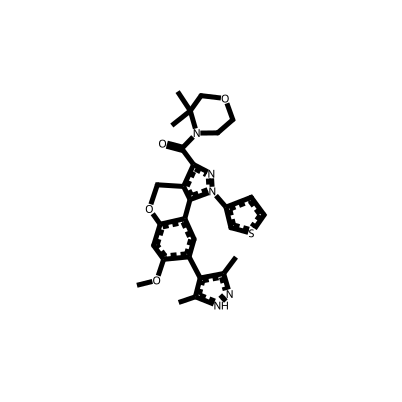 COc1cc2c(cc1-c1c(C)n[nH]c1C)-c1c(c(C(=O)N3CCOCC3(C)C)nn1-c1ccsc1)CO2